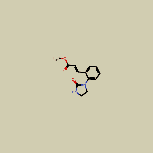 COC(=O)/C=C/c1ccccc1N1CCNC1=O